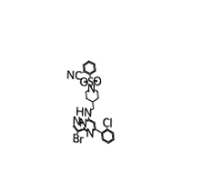 N#Cc1ccccc1S(=O)(=O)N1CCC(CNc2cc(-c3ccccc3Cl)nc3c(Br)cnn23)CC1